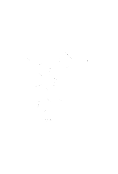 COc1ccc(-n2c(C3CCCN3)nc3c(-c4ccc(CO)nc4)cc(C#N)cc3c2=O)cc1F